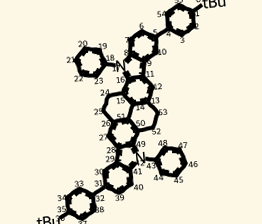 CC(C)(C)c1ccc(-c2ccc3c(c2)c2cc4c5c(c2n3-c2ccccc2)CCc2cc3c6cc(-c7ccc(C(C)(C)C)cc7)ccc6n(-c6ccccc6)c3c(c2-5)CC4)cc1